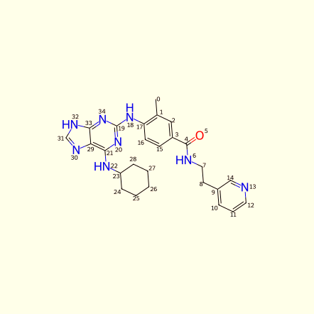 Cc1cc(C(=O)NCCc2cccnc2)ccc1Nc1nc(NC2CCCCC2)c2nc[nH]c2n1